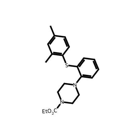 CCOC(=O)N1CCN(c2ccccc2Sc2ccc(C)cc2C)CC1